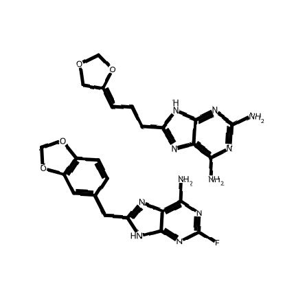 Nc1nc(F)nc2[nH]c(Cc3ccc4c(c3)OCO4)nc12.Nc1nc(N)c2nc(CC/C=C3/COCO3)[nH]c2n1